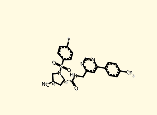 N#C[C@@H]1C[C@@H](C(=O)NCc2cc(-c3ccc(C(F)(F)F)cc3)ncn2)N(S(=O)(=O)c2ccc(F)cc2)C1